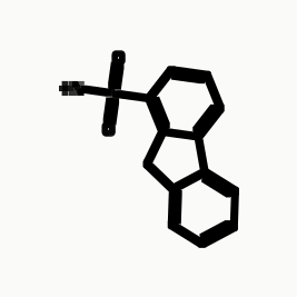 [NH]S(=O)(=O)c1cccc2c1Cc1ccccc1-2